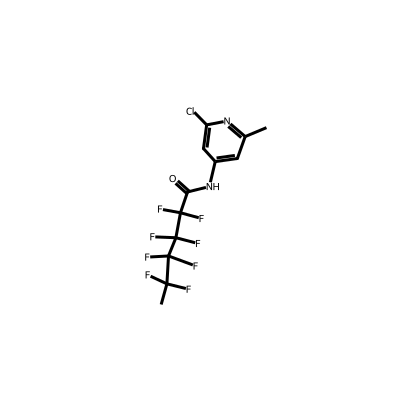 Cc1cc(NC(=O)C(F)(F)C(F)(F)C(F)(F)C(C)(F)F)cc(Cl)n1